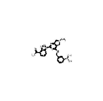 CN1Cc2nc(-n3nnc4c(C(N)=O)cccc43)nc(NCc3cccc(B(O)O)c3)c2C1